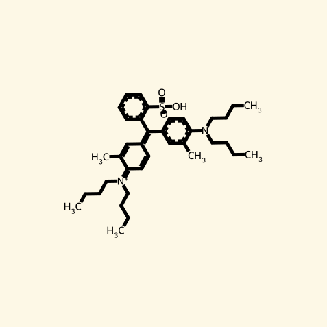 CCCCN(CCCC)c1ccc(/C(=C2\C=CC(=[N+](CCCC)CCCC)C(C)=C2)c2ccccc2S(=O)(=O)O)cc1C